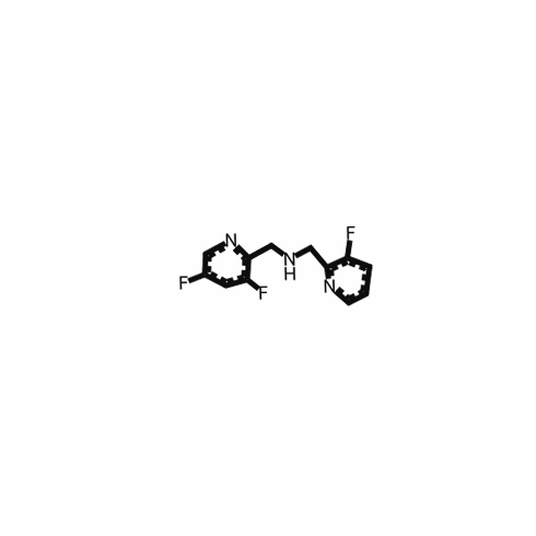 Fc1cnc(CNCc2ncccc2F)c(F)c1